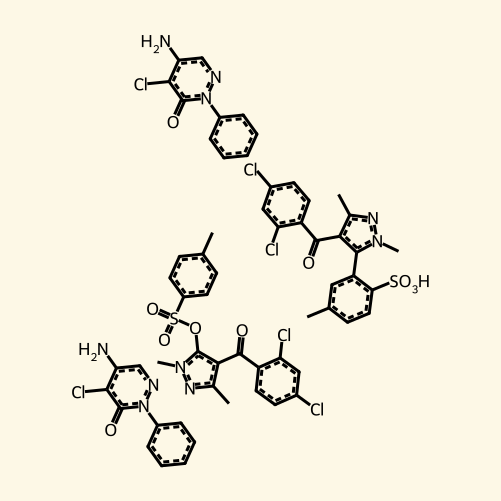 Cc1ccc(S(=O)(=O)O)c(-c2c(C(=O)c3ccc(Cl)cc3Cl)c(C)nn2C)c1.Cc1ccc(S(=O)(=O)Oc2c(C(=O)c3ccc(Cl)cc3Cl)c(C)nn2C)cc1.Nc1cnn(-c2ccccc2)c(=O)c1Cl.Nc1cnn(-c2ccccc2)c(=O)c1Cl